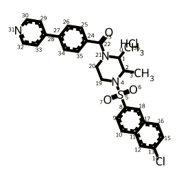 CC1C(C)N(S(=O)(=O)c2ccc3cc(Cl)ccc3c2)CCN1C(=O)c1ccc(-c2ccncc2)cc1.Cl